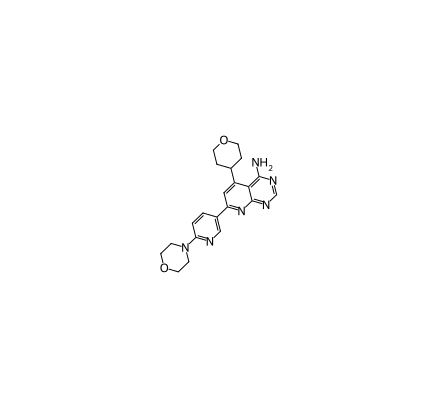 Nc1ncnc2nc(-c3ccc(N4CCOCC4)nc3)cc(C3CCOCC3)c12